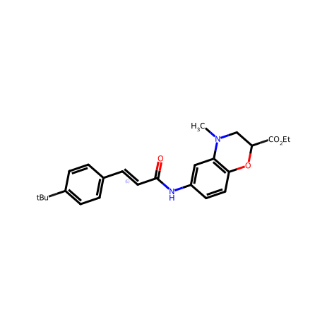 CCOC(=O)C1CN(C)c2cc(NC(=O)/C=C/c3ccc(C(C)(C)C)cc3)ccc2O1